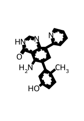 Cc1ccc(O)cc1-c1cc(-c2ccccn2)c2nc[nH]c(=O)c2c1N